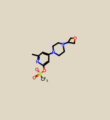 Cc1cc(N2CCN(C3COC3)CC2)cc(OS(=O)(=O)C(F)(F)F)n1